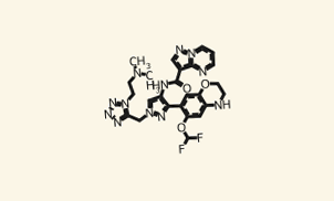 CN(C)CCn1nnnc1Cn1cc(NC(=O)c2cnn3cccnc23)c(-c2cc3c(cc2OC(F)F)NCCO3)n1